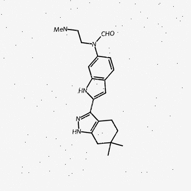 CNCCN(C=O)c1ccc2cc(-c3n[nH]c4c3CCC(C)(C)C4)[nH]c2c1